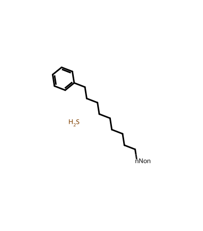 CCCCCCCCCCCCCCCCCCc1ccccc1.S